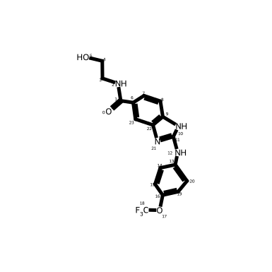 O=C(NCCO)c1ccc2[nH]c(Nc3ccc(OC(F)(F)F)cc3)nc2c1